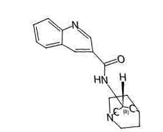 O=C(N[C@@H]1CC2CCN(CC2)C1)c1cnc2ccccc2c1